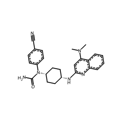 CN(C)c1cc(N[C@H]2CC[C@@H](N(C(N)=O)c3ccc(C#N)cc3)CC2)nc2ccccc12